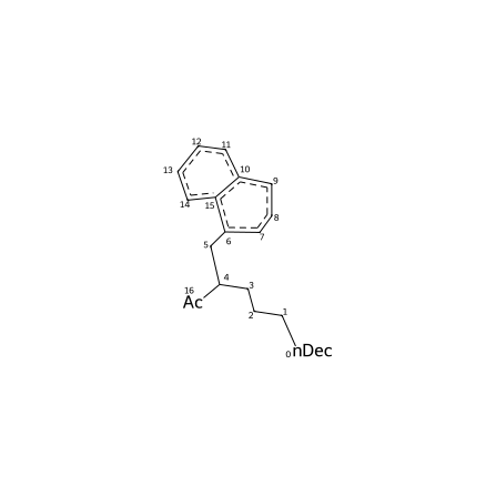 CCCCCCCCCCCCCC(Cc1cccc2ccccc12)C(C)=O